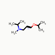 CC(C)O/C=C/CN(C)C(C)C